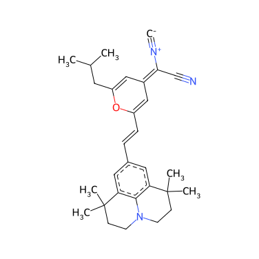 [C-]#[N+]/C(C#N)=C1C=C(/C=C/c2cc3c4c(c2)C(C)(C)CCN4CCC3(C)C)OC(CC(C)C)=C/1